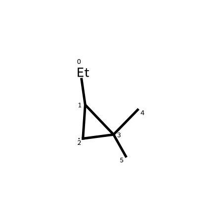 CCC1[CH]C1(C)C